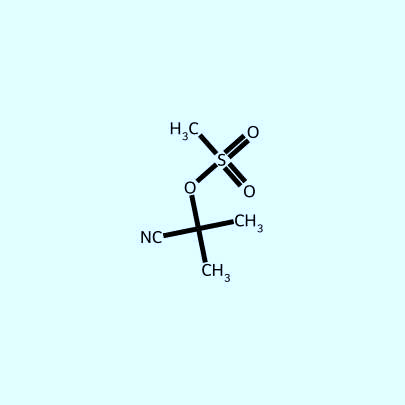 CC(C)(C#N)OS(C)(=O)=O